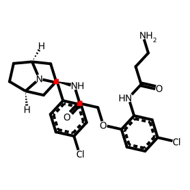 NCCC(=O)Nc1cc(Cl)ccc1OCC(=O)N[C@H]1C[C@H]2CC[C@@H](C1)N2Cc1ccc(Cl)cc1